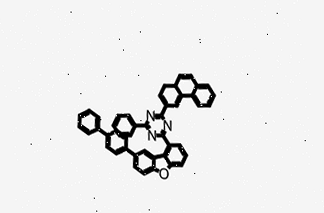 C1=CC2CC=C(c3nc(-c4ccccc4)nc(-c4cccc5oc6ccc(-c7ccc(-c8ccccc8)cc7)cc6c45)n3)C=C2c2ccccc21